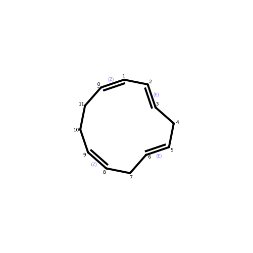 [C]1=C\C=C\C/C=C/C/C=C\CC/1